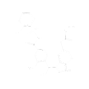 CCCCNC(=O)Cc1ccc2[nH]cc(C(CCC)c3ccc(C(=O)NS(=O)(=O)c4ccccc4C)cc3OC)c2c1